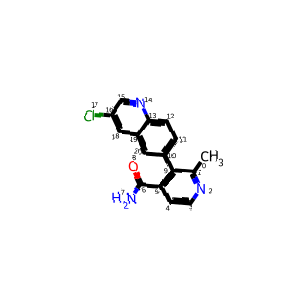 Cc1nccc(C(N)=O)c1-c1ccc2ncc(Cl)cc2c1